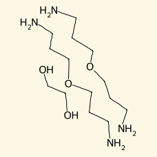 NCCCOCCCN.NCCCOCCCN.OCCO